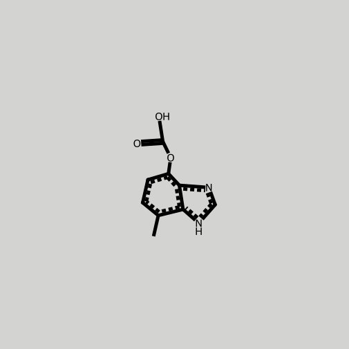 Cc1ccc(OC(=O)O)c2nc[nH]c12